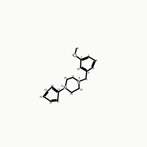 COc1cccc(CN2CCN(c3cc[c]cc3)CC2)c1